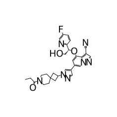 CCC(=O)N1CCC2(CC1)CC(n1cc(-c3cc(O[C@@H](CO)c4ccc(F)cn4)c4c(C#N)cnn4c3)cn1)C2